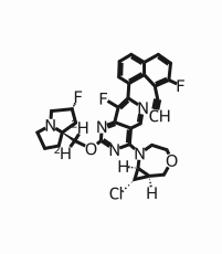 [2H]C([2H])(Oc1nc(N2CCOC[C@H]3[C@H](Cl)[C@H]32)c2cnc(-c3cccc4ccc(F)c(C#C)c34)c(F)c2n1)[C@@]12CCCN1C[C@H](F)C2